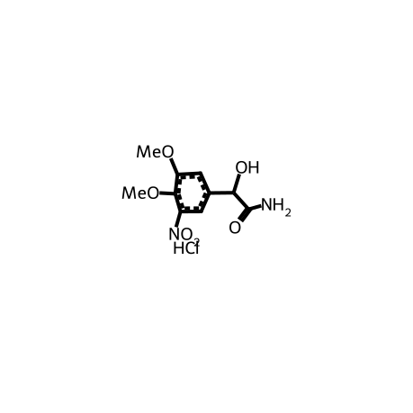 COc1cc(C(O)C(N)=O)cc([N+](=O)[O-])c1OC.Cl